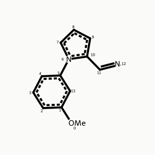 COc1cccc(-n2cccc2C=[N])c1